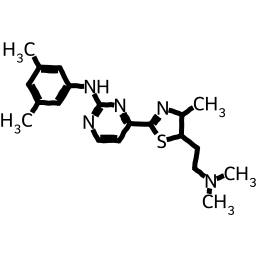 Cc1cc(C)cc(Nc2nccc(C3=NC(C)C(CCN(C)C)S3)n2)c1